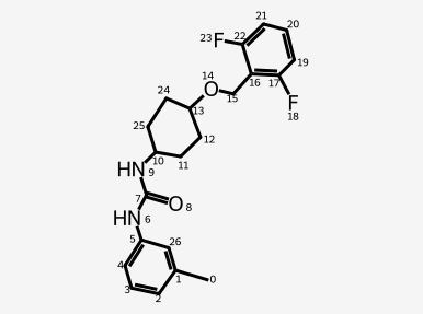 Cc1cccc(NC(=O)NC2CCC(OCc3c(F)cccc3F)CC2)c1